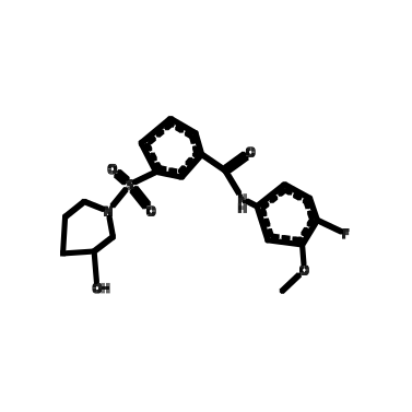 COc1cc(NC(=O)c2cccc(S(=O)(=O)N3CCCC(O)C3)c2)ccc1F